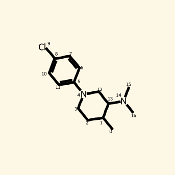 CC1CCN(c2ccc(Cl)cc2)CC1N(C)C